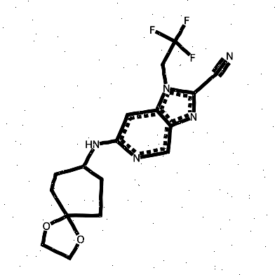 N#Cc1nc2cnc(NC3CCC4(CC3)OCCO4)cc2n1CC(F)(F)F